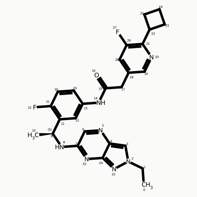 CCn1cc2ncc(N[C@@H](C)c3cc(NC(=O)Cc4cnc(C5CCC5)c(F)c4)ccc3F)nc2n1